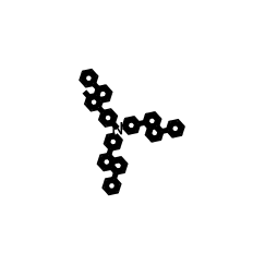 Cc1ccc(-c2ccc(N(c3ccc(-c4cccc5c(-c6ccccc6)cccc45)cc3)c3ccc(-c4cccc5c(-c6ccccc6)cccc45)cc3)cc2)c2cccc(-c3ccccc3)c12